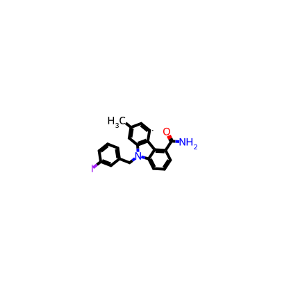 Cc1c[c]c2c3c(C(N)=O)cccc3n(Cc3cccc(I)c3)c2c1